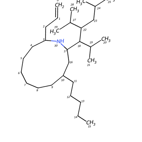 C=CCC1CCCCCCC(CCCCC)CC(C(C(C)C)C(CC(C)C)C(C)C)N1